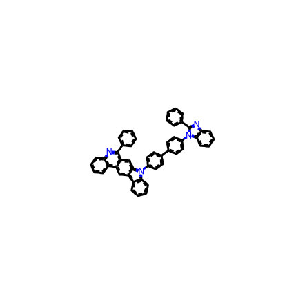 c1ccc(-c2nc3ccccc3c3cc4c5ccccc5n(-c5ccc(-c6ccc(-n7c(-c8ccccc8)nc8ccccc87)cc6)cc5)c4cc23)cc1